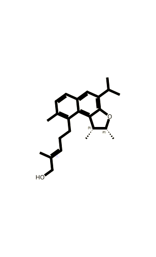 C/C(=C\CCc1c(C)ccc2cc(C(C)C)c3c(c12)[C@@H](C)[C@@H](C)O3)CO